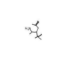 C=C(C)CC(C(C)N)C(C)(C)C